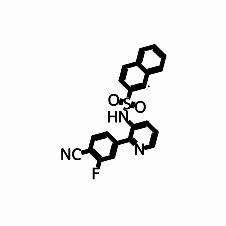 N#Cc1ccc(-c2ncccc2NS(=O)(=O)c2[c]c3ccccc3cc2)cc1F